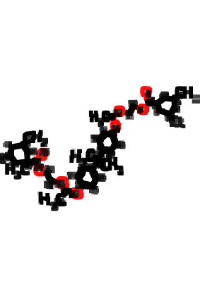 C=C1CC(CC)CC(C(=O)OCCOC(C)Oc2ccc(C(C)(C)c3ccc(OC(C)OCCOC(=O)C4(C)CC(=C)CC(CC)C4)cc3)cc2)C1